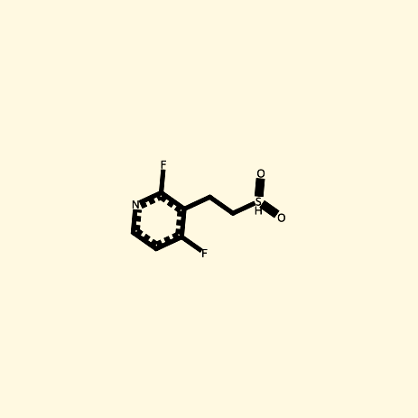 O=[SH](=O)CCc1c(F)ccnc1F